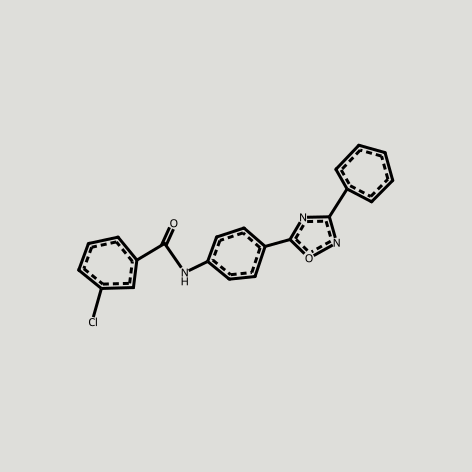 O=C(Nc1ccc(-c2nc(-c3ccccc3)no2)cc1)c1cccc(Cl)c1